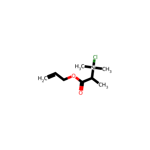 C=CCOC(=O)C(C)[Si](C)(C)Cl